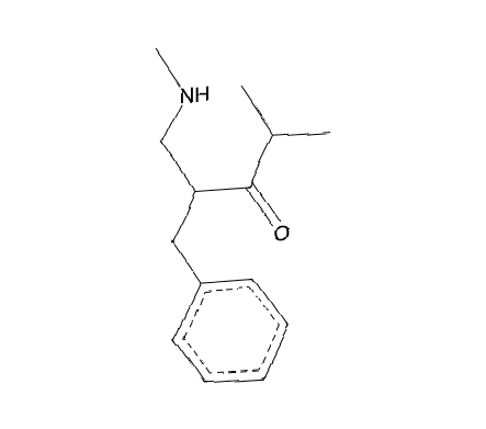 CNCC(Cc1ccccc1)C(=O)C(C)C